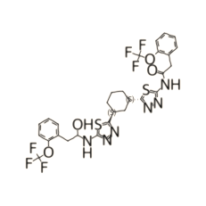 O=C(Cc1ccccc1OC(F)(F)F)Nc1nnc([C@H]2CCC[C@H](c3nnc(NC(O)Cc4ccccc4OC(F)(F)F)s3)C2)s1